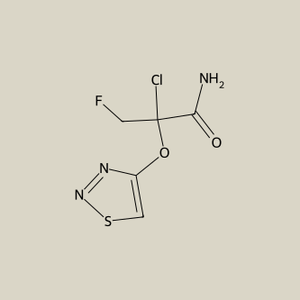 NC(=O)C(Cl)(CF)Oc1csnn1